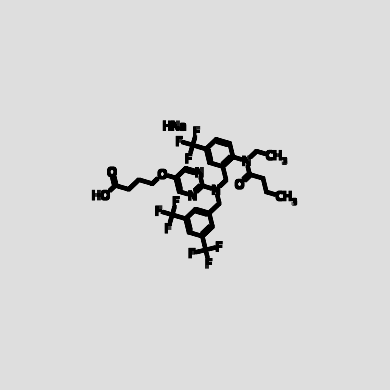 CCCC(=O)N(CC)c1ccc(C(F)(F)F)cc1CN(Cc1cc(C(F)(F)F)cc(C(F)(F)F)c1)c1ncc(OCCCC(=O)O)cn1.[NaH]